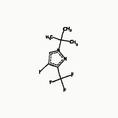 CC(C)(C)n1cc(I)c(C(F)(F)F)n1